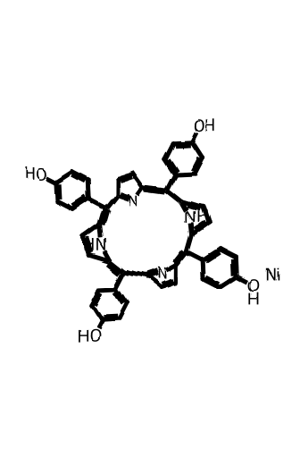 Oc1ccc(-c2c3nc(c(-c4ccc(O)cc4)c4ccc([nH]4)c(-c4ccc(O)cc4)c4nc(c(-c5ccc(O)cc5)c5ccc2[nH]5)C=C4)C=C3)cc1.[Ni]